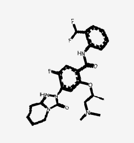 C[C@@H](CN(C)C)Oc1cc(N2NC3CCCCN3C2=O)c(F)cc1C(=O)Nc1ccccc1C(F)F